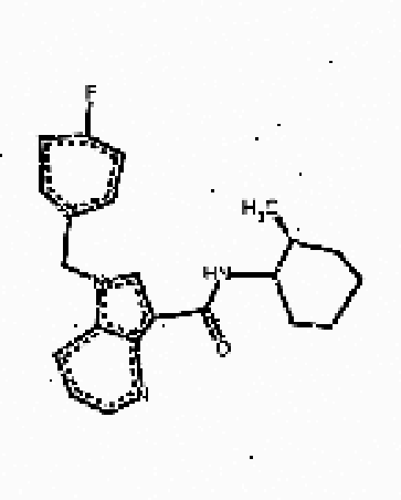 C[C@H]1CCCCC1NC(=O)c1cn(Cc2ccc(F)cc2)c2cccnc12